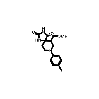 COC(=O)C1CN(c2ccc(I)cc2)CCC12NC(=O)NC2=O